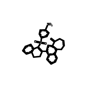 C=C1CC=CCc2c1cc(C1=C(S(=O)(=O)c3ccc([N+](=O)[O-])cc3)c3ccccc3CC1)c1ccccc21